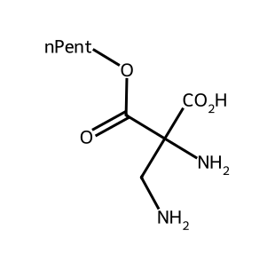 CCCCCOC(=O)C(N)(CN)C(=O)O